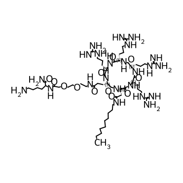 CCCCCCCCCCNC(=O)C[C@@H]1NC(=O)[C@H](CCC(=O)NCCOCCOCC(=O)NC(CCCCN)C(N)=O)NC(=O)[C@H](CCCNC(=N)N)NC(=O)[C@H](CCCNC(=N)N)NC(=O)[C@H](CCCNC(=N)N)NC(=O)[C@H](CCCNC(=N)N)NC1=O